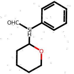 O=C[SiH](c1ccccc1)C1CCCCO1